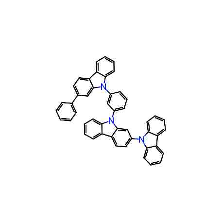 c1ccc(-c2ccc3c4ccccc4n(-c4cccc(-n5c6ccccc6c6ccc(-n7c8ccccc8c8ccccc87)cc65)c4)c3c2)cc1